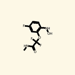 CNC(=O)C(F)(F)Oc1cc(F)ccc1NO